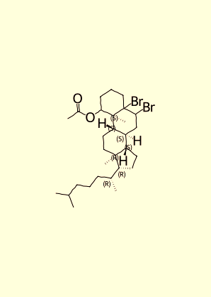 CC(=O)OC1CCCC2(Br)C(Br)C[C@H]3[C@@H]4CC[C@H]([C@H](C)CCCC(C)C)[C@@]4(C)CC[C@@H]3[C@@]12C